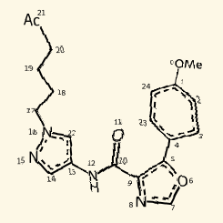 COc1ccc(-c2ocnc2C(=O)Nc2cnn(CCCCC(C)=O)c2)cc1